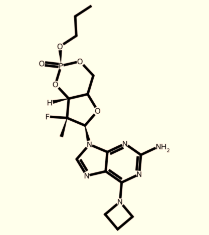 CCCO[P@@]1(=O)OCC2O[C@@H](n3cnc4c(N5CCC5)nc(N)nc43)[C@](C)(F)[C@@H]2O1